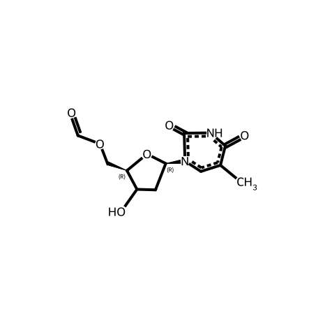 Cc1cn([C@H]2CC(O)[C@@H](COC=O)O2)c(=O)[nH]c1=O